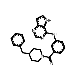 O=C(c1cccc(Nc2ncnc3cc[nH]c23)c1)N1CCC(Cc2ccccc2)CC1